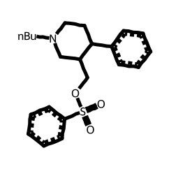 CCCCN1CCC(c2ccccc2)C(COS(=O)(=O)c2ccccc2)C1